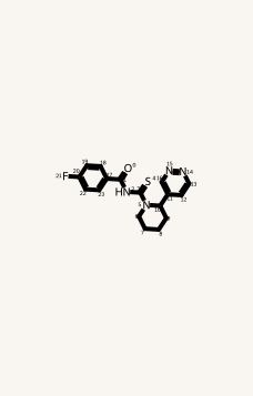 O=C(NC(=S)N1CCCCC1c1ccnnc1)c1ccc(F)cc1